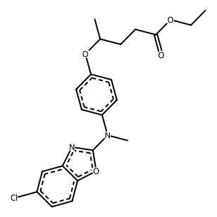 CCOC(=O)CCC(C)Oc1ccc(N(C)c2nc3cc(Cl)ccc3o2)cc1